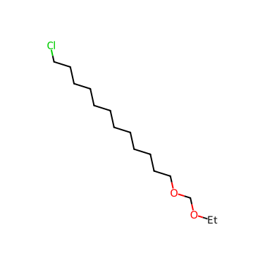 CCOCOCCCCCCCCCCCCCl